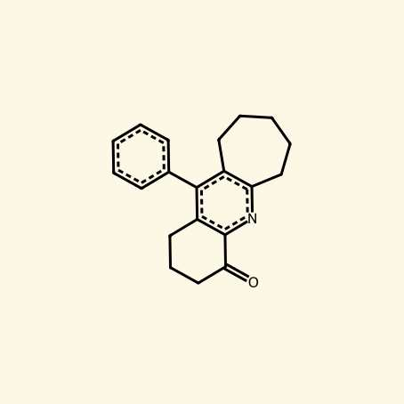 O=C1CCCc2c1nc1c(c2-c2ccccc2)CCCCC1